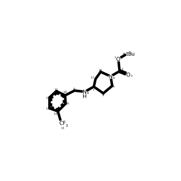 CC(C)(C)OC(=O)N1CCC(NCc2cccc(C(F)(F)F)c2)CC1